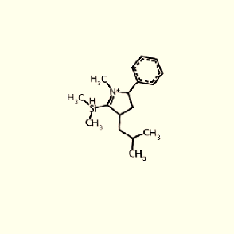 CC(C)CC1CC(c2ccccc2)[N+](C)=C1[SiH](C)C